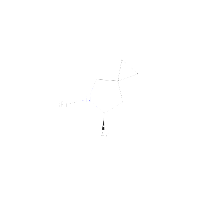 CC(=O)[C@@H]1CC2(CC2)CN1C(C)C